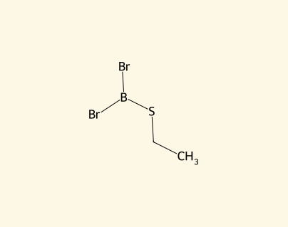 CCSB(Br)Br